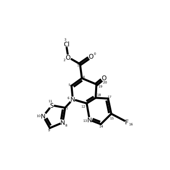 O=C(OCl)c1cn(-c2ncns2)c2ncc(F)cc2c1=O